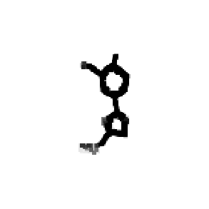 CCOC(=O)c1csc(-c2ccc(C)c(Cl)c2)n1